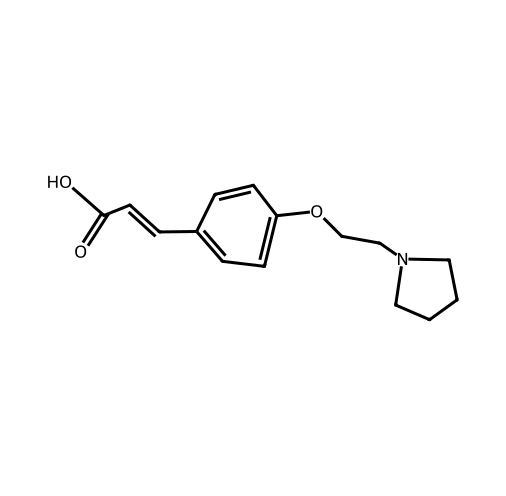 O=C(O)C=Cc1ccc(OCCN2CCCC2)cc1